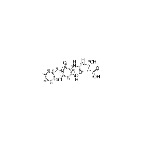 C[C@H](CC(=O)O)NC(=O)Nc1c(O)ccn(Cc2ccccc2Cl)c1=O